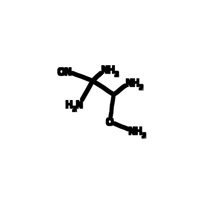 NOC(N)C(N)(N)N=O